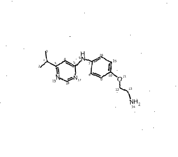 CC(C)c1cc(Nc2ccc(OCCN)cc2)ncn1